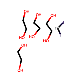 I[Te]I.OCCO.OCCO.OCCO.OCCO